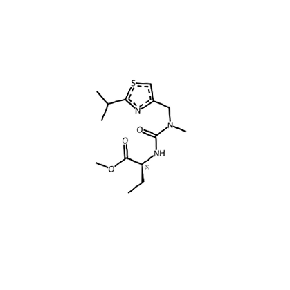 CC[C@H](NC(=O)N(C)Cc1csc(C(C)C)n1)C(=O)OC